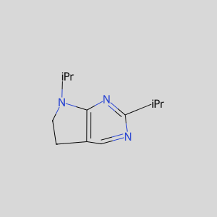 CC(C)c1ncc2c(n1)N(C(C)C)CC2